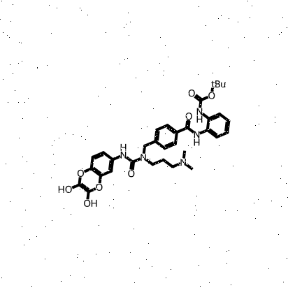 CN(C)CCCN(Cc1ccc(C(=O)Nc2ccccc2NC(=O)OC(C)(C)C)cc1)C(=O)Nc1ccc2c(c1)OC(O)=C(O)O2